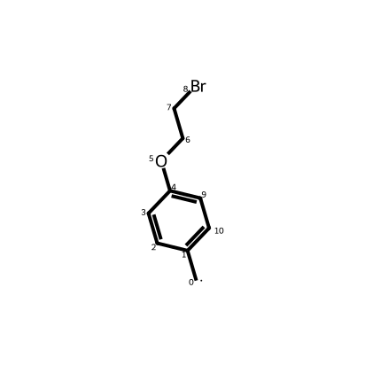 [CH2]c1ccc(OCCBr)cc1